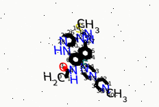 C=CC(=O)Nc1cc(Nc2cc(-n3c(SC)nnc3-c3ccc(F)cc3)ccn2)ccc1N1CCN(C2CCN(C)CC2)CC1